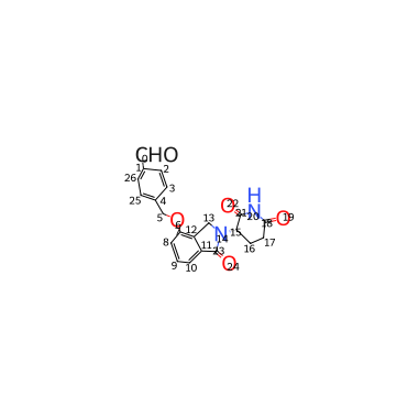 O=Cc1ccc(COc2cccc3c2CN([C@H]2CCC(=O)NC2=O)C3=O)cc1